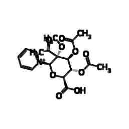 CO[C@]1(C(C)=O)[C@@H](OC(C)=O)[C@H](OC(C)=O)[C@@H](C(=O)O)O[C@H]1[n+]1ccccc1